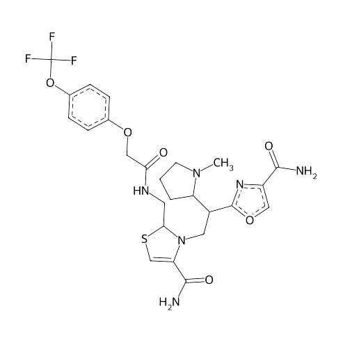 CN1CCCC1C(CN1C(C(N)=O)=CSC1CNC(=O)COc1ccc(OC(F)(F)F)cc1)c1nc(C(N)=O)co1